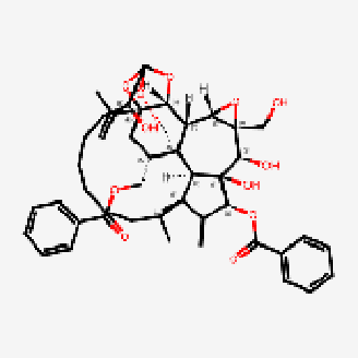 C=C(C)[C@]12C[C@@H](COC(=O)c3ccccc3)[C@@]34OC5(O[C@@H]1[C@@H]3[C@@H]1O[C@]1(CO)[C@@H](O)[C@@]1(O)[C@H]4[C@@H](C(C)CCCCCC[C@@H]5O)C(C)[C@@H]1OC(=O)c1ccccc1)O2